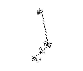 C[C@@H](CCCCNC(=O)CCCS(=O)(=O)NC(=O)CCCCCCCCCCCCCCCc1nnn[nH]1)C(=O)O